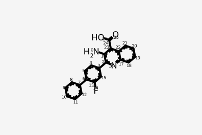 Nc1c(-c2ccc(-c3ccccc3)c(F)c2)nc2ccccc2c1C(=O)O